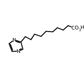 O=C(O)CCCCCCCCCc1cnccn1